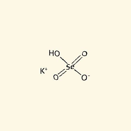 O=[Se](=O)([O-])O.[K+]